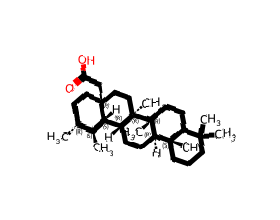 C[C@@H]1[C@H]2[C@H]3CC[C@@H]4[C@@]5(C)CCCC(C)(C)C5CC[C@@]4(C)[C@]3(C)CC[C@@]2(CC(=O)O)CC[C@H]1C